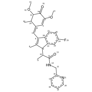 COC1=CC(=CC2=C(C)C(C(C)C(=O)NCc3ccccn3)c3cc(F)ccc32)C(C)C(OC)C1=O